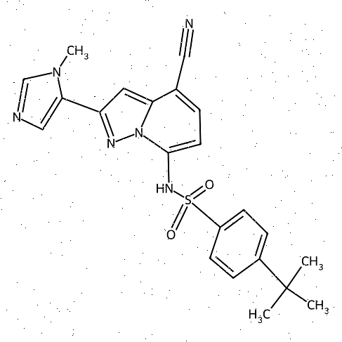 Cn1cncc1-c1cc2c(C#N)ccc(NS(=O)(=O)c3ccc(C(C)(C)C)cc3)n2n1